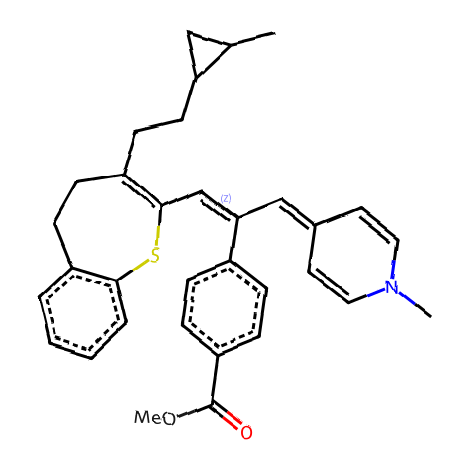 COC(=O)c1ccc(/C(C=C2C=CN(C)C=C2)=C\C2=C(CCC3CC3C)CCc3ccccc3S2)cc1